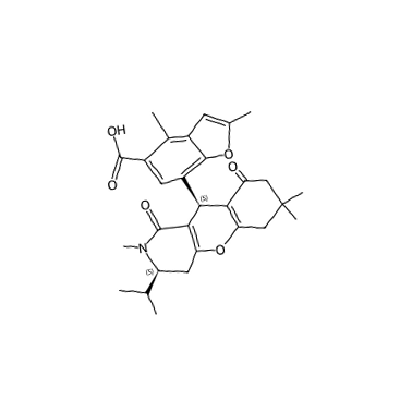 Cc1cc2c(C)c(C(=O)O)cc([C@H]3C4=C(CC(C)(C)CC4=O)OC4=C3C(=O)N(C)[C@H](C(C)C)C4)c2o1